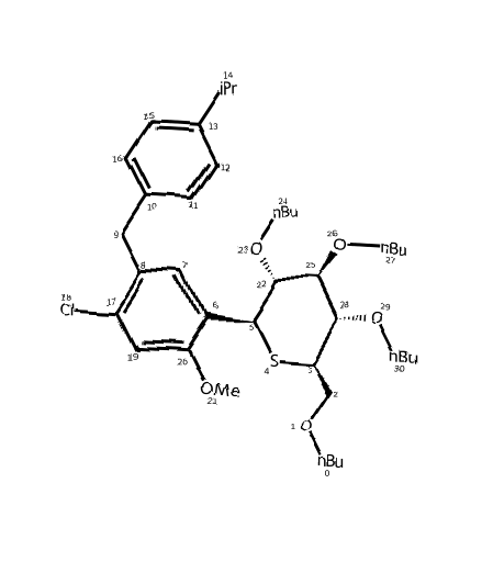 CCCCOC[C@H]1S[C@@H](c2cc(Cc3ccc(C(C)C)cc3)c(Cl)cc2OC)[C@H](OCCCC)[C@@H](OCCCC)[C@@H]1OCCCC